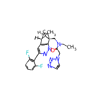 CCN(C[C@@]12CC[C@@H](c3cc(-c4c(F)cccc4F)nnc31)C2(C)C)C(=O)Cn1ccnn1